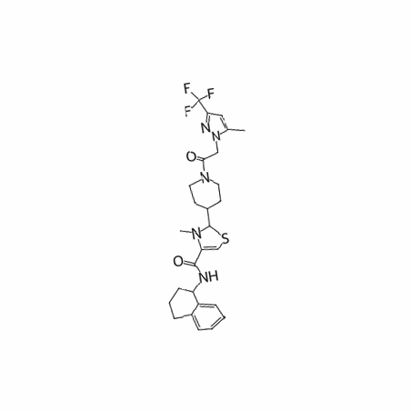 Cc1cc(C(F)(F)F)nn1CC(=O)N1CCC(C2SC=C(C(=O)NC3CCCc4ccccc43)N2C)CC1